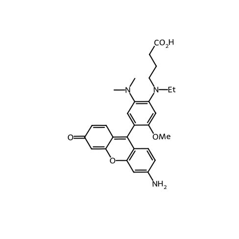 CCN(CCCC(=O)O)c1cc(OC)c(-c2c3ccc(=O)cc-3oc3cc(N)ccc23)cc1N(C)C